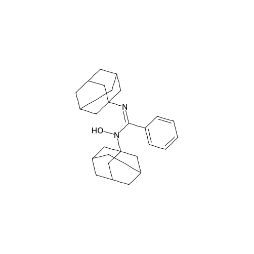 ON(C(=NC12CC3CC(CC(C3)C1)C2)c1ccccc1)C12CC3CC(CC(C3)C1)C2